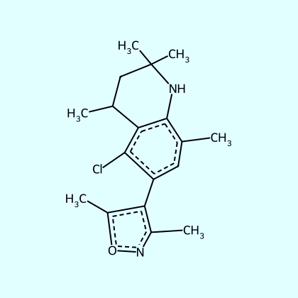 Cc1cc(-c2c(C)noc2C)c(Cl)c2c1NC(C)(C)CC2C